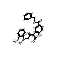 CN(CC(=O)C1C(=O)Nc2ccc(C(=O)OCc3ccccc3)cc21)c1ccccc1[N+](=O)[O-]